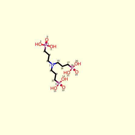 O=P(O)(O)CCCN(CCCP(=O)(O)O)CCCP(=O)(O)O